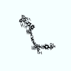 CCC(CC)C1CC(N[C@H]2CC[C@H](NCC3(C4CCCCC4)CN(CCOCCOCCOCC(=O)N[C@H](C(=O)N4C[C@H](O)C[C@H]4C(=O)NCc4ccc(C5SCNC5C)cc4)C(C)(C)C)NN3)C2)N2NCCC2N1